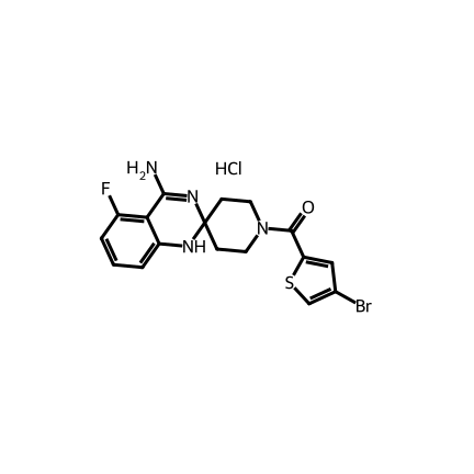 Cl.NC1=NC2(CCN(C(=O)c3cc(Br)cs3)CC2)Nc2cccc(F)c21